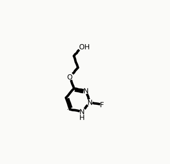 OCCOC1=NN(F)N[C]=C1